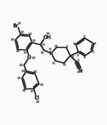 N#CC1(c2ccccc2)CCN(CC(O)c2cc(Br)ccc2OCc2ccc(Cl)cc2)CC1